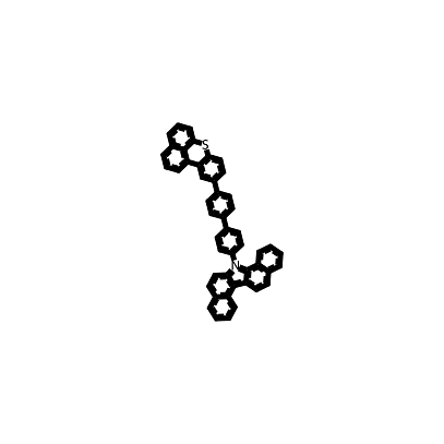 c1cc2c3c(cccc3c1)-c1cc(-c3ccc(-c4ccc(-n5c6ccc7ccccc7c6c6ccc7ccccc7c65)cc4)cc3)ccc1S2